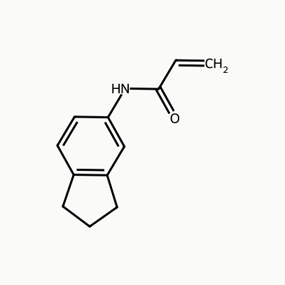 C=CC(=O)Nc1ccc2c(c1)CCC2